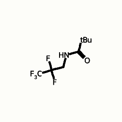 CC(C)(C)C(=O)NCC(F)(F)C(F)(F)F